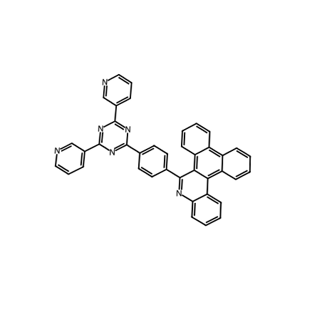 c1cncc(-c2nc(-c3ccc(-c4nc5ccccc5c5c6ccccc6c6ccccc6c45)cc3)nc(-c3cccnc3)n2)c1